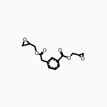 O=C(Cc1cccc(C(=O)OCC2CO2)c1)OCC1CO1